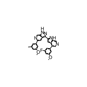 COc1cc(C)cc(-c2cc3c(-c4cc5c(-c6cc(F)cc(OC)c6)cncc5[nH]4)n[nH]c3cn2)c1